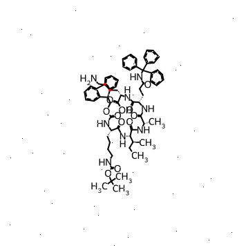 CC[C@H](C)[C@H](NC(=O)[C@H](CCCCNC(=O)OC(C)(C)C)NC(=O)OCC1c2ccccc2-c2ccccc21)C(=O)N[C@@H](C)C(=O)N[C@@H](CCC(=O)NC(c1ccccc1)(c1ccccc1)c1ccccc1)C(=O)N[C@@H](CCCCN)C(=O)O